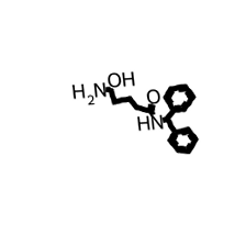 NC(O)CCCC(=O)NC(c1ccccc1)c1ccccc1